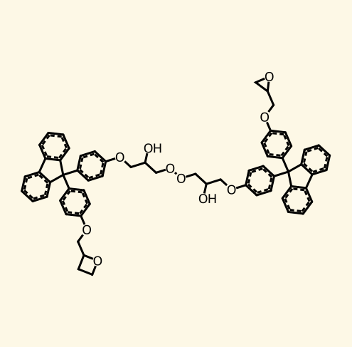 OC(COOCC(O)COc1ccc(C2(c3ccc(OCC4CO4)cc3)c3ccccc3-c3ccccc32)cc1)COc1ccc(C2(c3ccc(OCC4CCO4)cc3)c3ccccc3-c3ccccc32)cc1